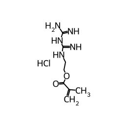 C=C(C)C(=O)OCCNC(=N)NC(=N)N.Cl